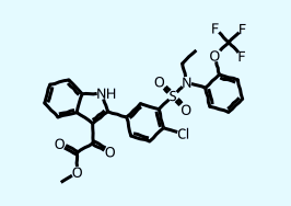 CCN(c1ccccc1OC(F)(F)F)S(=O)(=O)c1cc(-c2[nH]c3ccccc3c2C(=O)C(=O)OC)ccc1Cl